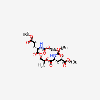 [CH2]C(COC(=O)[C@H](CCC(=O)OC(C)(C)C)NC(=O)OC(C)(C)C)OC(=O)[C@H](CCC(=O)OC(C)(C)C)NC(=O)OC(C)(C)C